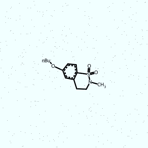 CCCCOc1ccc2c(c1)CCN(C)S2(=O)=O